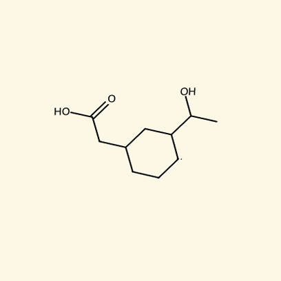 CC(O)C1[CH]CCC(CC(=O)O)C1